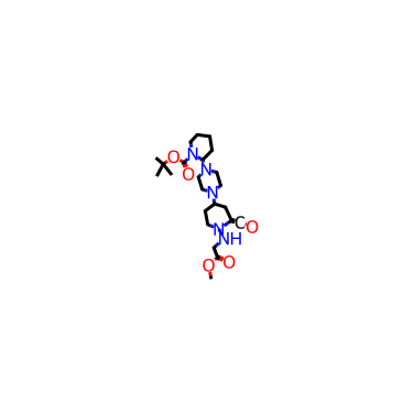 COC(=O)CNN1CCC(N2CCN(C3CCCCN3C(=O)OC(C)(C)C)CC2)CC1=C=O